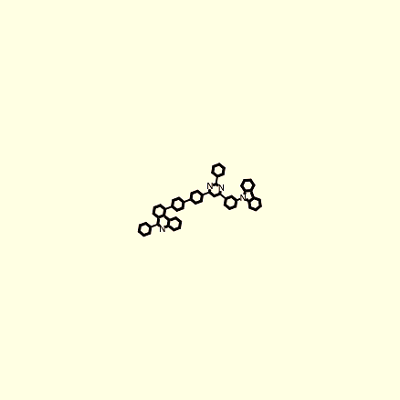 c1ccc(-c2nc(-c3ccc(-c4ccc(-c5cccc6c(-c7ccccc7)nc7ccccc7c56)cc4)cc3)cc(-c3cccc(-n4c5ccccc5c5ccccc54)c3)n2)cc1